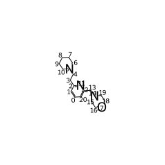 c1cc(CCN2CCCCC2)nc(CN2CCOCC2)c1